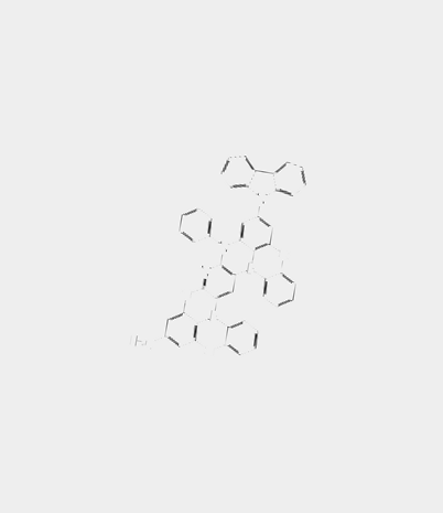 CC(C)(C)c1cc2c3c(c1)Oc1nc4c(cc1B3c1ccccc1O2)B1c2ccccc2Oc2cc(-n3c5ccccc5c5ccccc53)cc(c21)N4c1ccccc1